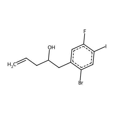 C=CCC(O)Cc1cc(F)c(I)cc1Br